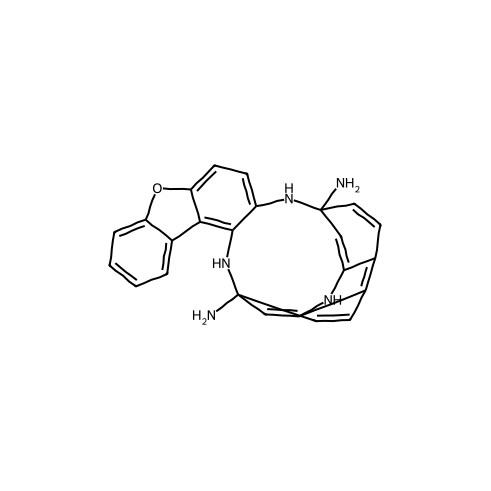 NC12C=Cc3c4c([nH]c3=C1)=CC(N)(C=C4)Nc1c(ccc3oc4ccccc4c13)N2